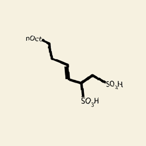 CCCCCCCCCCC=CC(CS(=O)(=O)O)S(=O)(=O)O